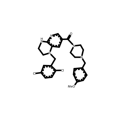 COc1ccc(CN2CCN(C(=O)c3cnc4c(c3)N(Cc3cc(Cl)ccc3Cl)CCN4)CC2)cc1